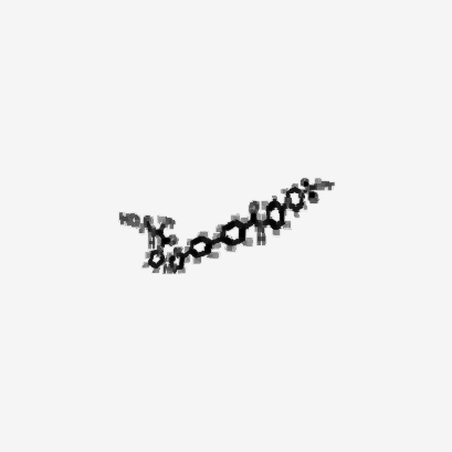 CCCS(=O)(=O)N1CCN(c2ccc(NC(=O)c3ccc(-c4ccc(-c5c[nH]c([C@@H]6CCCN6C(=O)[C@@H](NC(=O)O)C(C)C)n5)cc4)cc3)cc2)CC1